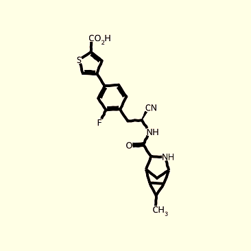 CC1C2C3CC(C(C(=O)N[C@H](C#N)Cc4ccc(-c5csc(C(=O)O)c5)cc4F)N3)C12